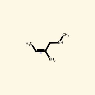 B/C(=C/C)CNC